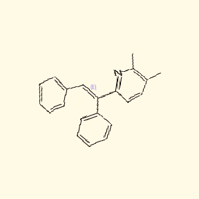 Cc1ccc(/C(=C/c2ccccc2)c2ccccc2)nc1C